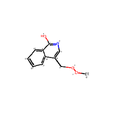 CCOOCc1cnc(O)c2ccccc12